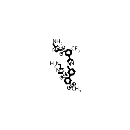 CS(=O)(=O)c1ccc(S(=O)(=O)c2cnc(CN)s2)c(-c2cccc(Cn3cc(-c4cc(C(F)(F)F)cc(S(=O)(=O)c5cnc(CN)s5)c4)cn3)c2)c1